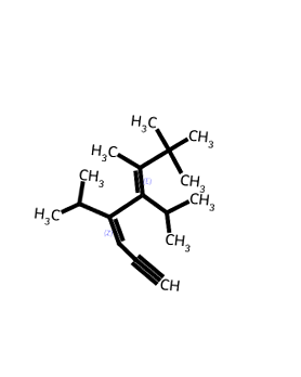 C#C/C=C(\C(=C(/C)C(C)(C)C)C(C)C)C(C)C